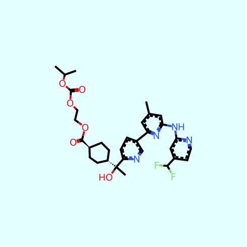 Cc1cc(Nc2cc(C(F)F)ccn2)nc(-c2ccc(C(C)(O)[C@H]3CC[C@H](C(=O)OCCOC(=O)OC(C)C)CC3)nc2)c1